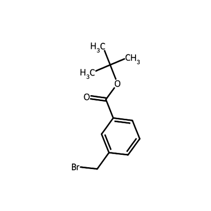 CC(C)(C)OC(=O)c1cccc(CBr)c1